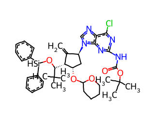 C=C1[C@@H](C(O[SiH](c2ccccc2)c2ccccc2)C(C)(C)C)[C@@H](OC2CCCCO2)C[C@@H]1n1cnc2c(Cl)nc(NC(=O)OC(C)(C)C)nc21